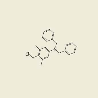 Cc1cc(N(Cc2ccccc2)Cc2ccccc2)cc(C)c1CCl